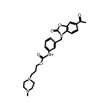 CC(=O)c1ccc2c(c1)oc(=O)n2Cc1cccc(NC(=O)OCCCN2CCN(C)CC2)c1